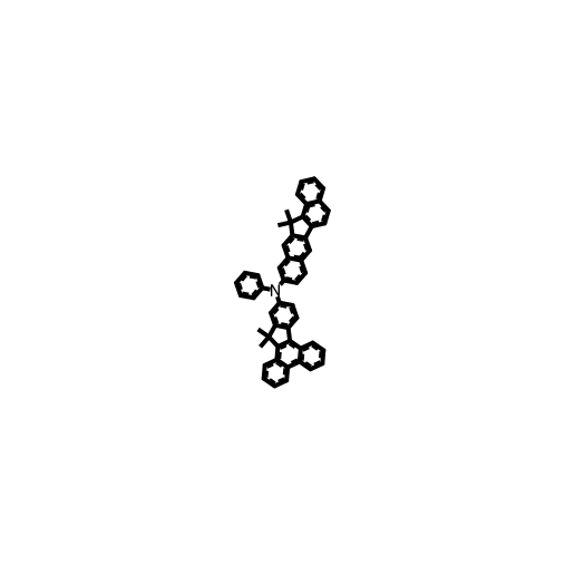 CC1(C)c2cc3cc(N(c4ccccc4)c4ccc5c(c4)C(C)(C)c4c-5c5ccccc5c5ccccc45)ccc3cc2-c2ccc3ccccc3c21